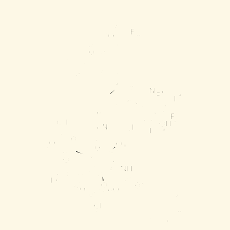 CC(=O)OC[C@H]1O[C@@H](Oc2ccc(C[C@@H](c3ccc(OC(F)F)c(OC4CC4)c3)c3cnc(C(O)(C(F)(F)F)C(F)(F)F)s3)cn2)[C@H](NC(=O)OCc2ccccc2)[C@@H](OC(C)=O)[C@@H]1OC(C)=O